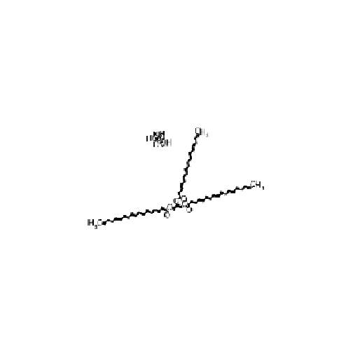 CCCCCCCC/C=C/CCCCCCCC(=O)OCC(COC(=O)CCCCCCC/C=C/CCCCCCCC)OC(=O)CCCCCCC/C=C/CCCCCCCC.O=S(=O)(O)O.[KH]